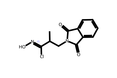 CC(CN1C(=O)c2ccccc2C1=O)/C(Cl)=N/O